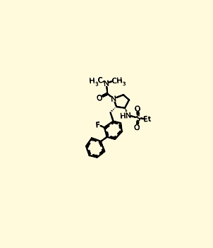 CCS(=O)(=O)N[C@H]1CCN(C(=O)N(C)C)[C@H]1Cc1cccc(-c2ccccc2)c1F